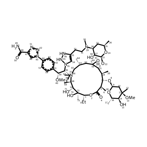 CC[C@H]1OC(=O)[C@H](C)[C@@H](O[C@H]2C[C@@](C)(OC)[C@@H](O)[C@H](C)O2)[C@H](C)[C@@H](O[C@@H]2O[C@H](C)C[C@H](N(C)CCC3=CN([C@H](CF)[C@H](OC)c4ccc(-n5cc(C(N)=O)nn5)cc4)NN3)[C@H]2O)[C@](C)(O)C[C@@H](C)CN(C)[C@H](C)[C@@H](O)[C@]1(C)O